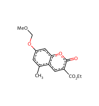 CCOC(=O)c1cc2c(C)cc(OCOC)cc2oc1=O